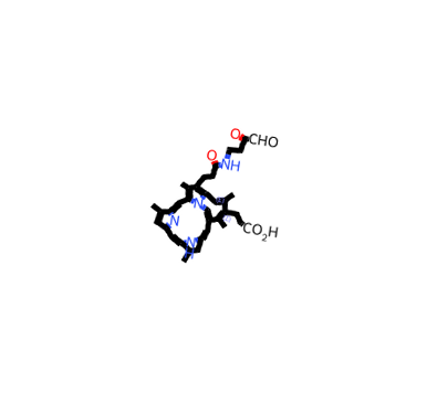 CC1=Cc2cc3[nH]c(cc4cn5c(c(CCC(=O)NCCC(=O)C=O)c(C)c5cc1n2)/C=C(C)/C(CCC(=O)O)=C\4C)CC3C